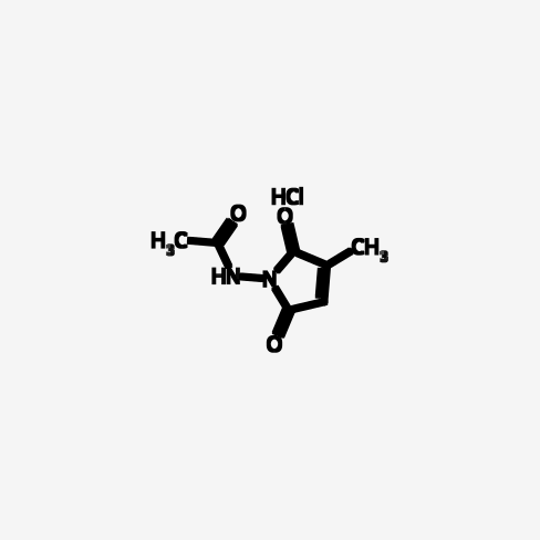 CC(=O)NN1C(=O)C=C(C)C1=O.Cl